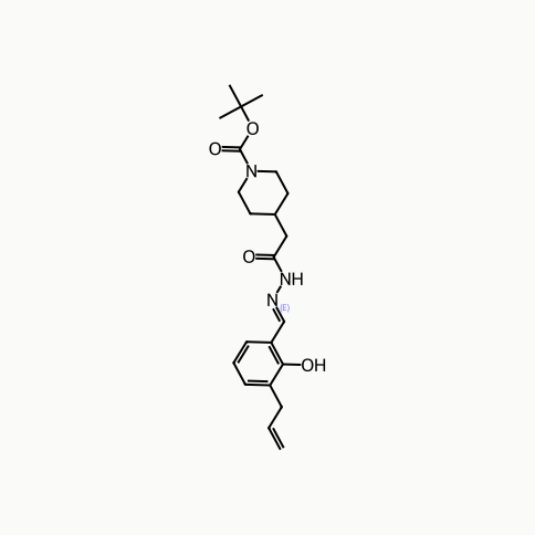 C=CCc1cccc(/C=N/NC(=O)CC2CCN(C(=O)OC(C)(C)C)CC2)c1O